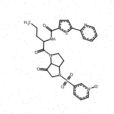 CCCC(NC(=O)c1ccc(-c2ccccn2)s1)C(=O)N1CCC2C1C(=O)CN2S(=O)(=O)c1ccc[n+]([O-])c1